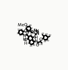 COc1ccc(Cn2nnnc2Sc2cc(C(=O)Nc3ccccc3OC)c(O)c3cccc(NC(=O)C(C)Oc4ccc(C)cc4C)c23)cc1